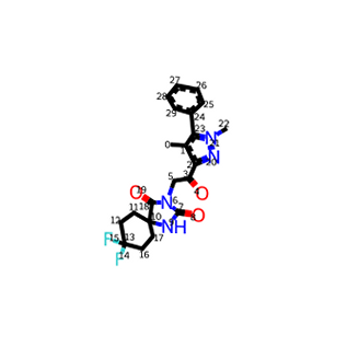 Cc1c(C(=O)CN2C(=O)NC3(CCC(F)(F)CC3)C2=O)nn(C)c1-c1ccccc1